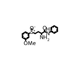 COc1cccc([S+]([O-])CCC(N)C(=O)Nc2ccccc2)c1